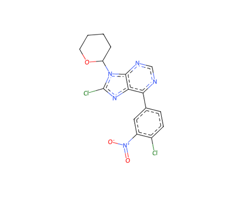 O=[N+]([O-])c1cc(-c2ncnc3c2nc(Cl)n3C2CCCCO2)ccc1Cl